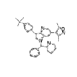 Cc1noc(C)c1-c1cnc2c(-c3ccc(C(C)(C)C)cc3)cn(C(c3ccccc3)c3ccccn3)c2c1